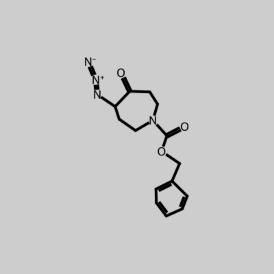 [N-]=[N+]=NC1CCN(C(=O)OCc2ccccc2)CCC1=O